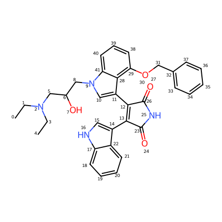 CCN(CC)CC(O)Cn1cc(C2=C(c3c[nH]c4ccccc34)C(=O)NC2=O)c2c(OCc3ccccc3)cccc21